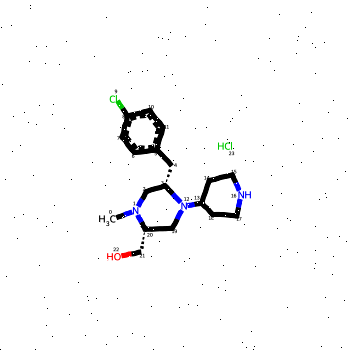 CN1C[C@H](Cc2ccc(Cl)cc2)N(C2CCNCC2)C[C@@H]1CO.Cl